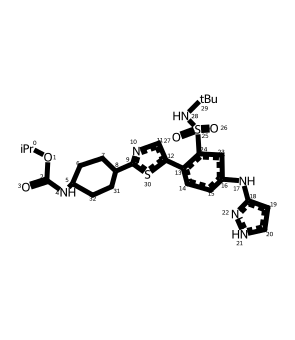 CC(C)OC(=O)NC1CCC(c2ncc(-c3ccc(Nc4cc[nH]n4)cc3S(=O)(=O)NC(C)(C)C)s2)CC1